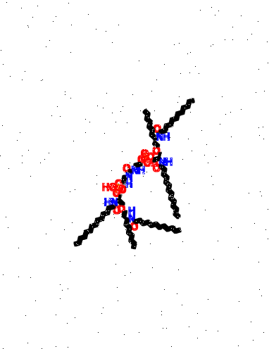 CCCCCCCCCCCCCC(=O)N[C@H](COCC[C@H](CCCCCCC)NC(=O)CCCCCCCCCCC)COP(=O)(O)OCCNC(=O)NCCOP(=O)(O)OC[C@@H](COCC[C@H](CCCCCCC)NC(=O)CCCCCCCCCCC)NC(=O)CCCCCCCCCCCCC